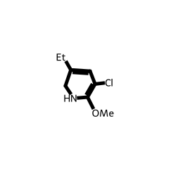 CCC1=CC(Cl)=C(OC)NC1